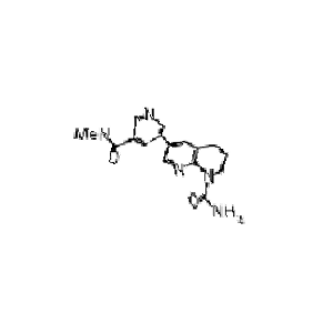 CNC(=O)c1cncc(-c2cnc3c(c2)CCCN3C(N)=O)c1